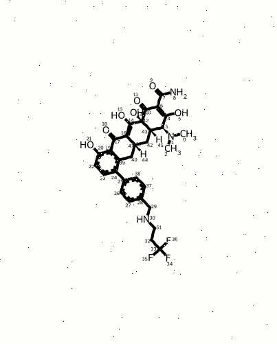 CN(C)[C@@H]1C(O)=C(C(N)=O)C(=O)[C@@]2(O)C(O)=C3C(=O)c4c(O)ccc(-c5ccc(CNCCC(F)(F)F)cc5)c4C[C@H]3C[C@@H]12